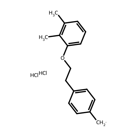 Cl.Cl.[CH2]c1ccc(CCOc2cccc(C)c2C)cc1